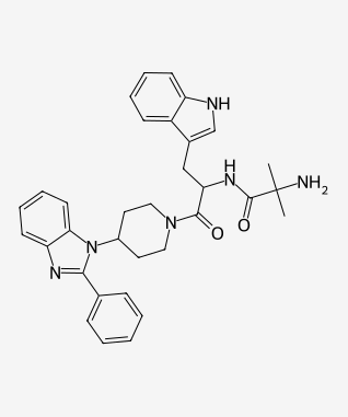 CC(C)(N)C(=O)NC(Cc1c[nH]c2ccccc12)C(=O)N1CCC(n2c(-c3ccccc3)nc3ccccc32)CC1